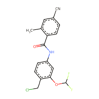 Cc1cc(C#N)ccc1C(=O)Nc1ccc(CCl)c(OC(F)F)c1